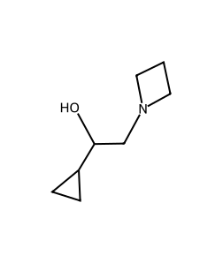 OC(CN1CCC1)C1CC1